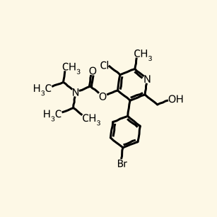 Cc1nc(CO)c(-c2ccc(Br)cc2)c(OC(=O)N(C(C)C)C(C)C)c1Cl